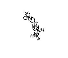 CN(c1nccc(Nc2cc(C3CC3)[nH]n2)n1)C1CCN(C(=O)OC(C)(C)C)CC1